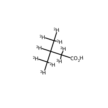 [2H]C([2H])([2H])C([2H])(C([2H])([2H])[2H])C([2H])([2H])C(=O)O